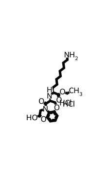 CCOC(=O)[C@H](CCCCCCCCN)N[C@H]1COc2ccccc2N(CC(=O)O)C1=O.Cl.Cl